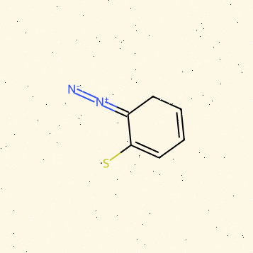 [N-]=[N+]=C1CC=CC=C1[S]